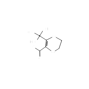 CC(C)C1=C(C(C)(C)C)OCCO1